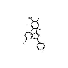 CC1=CC(C)(c2nc(-c3ccncc3)c[nH]2)C(c2ccc(Cl)cc2)=C(C)C1O